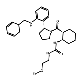 CCOCCNC(=O)N[C@@H]1CCCC[C@@H]1C(=O)N1CCC[C@@H]1c1ccccc1NCC1C=CC=CC1